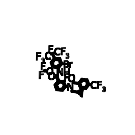 O=C(Nc1c(Br)cc(C(F)(C(F)(F)F)C(F)(F)F)cc1OC(F)F)c1cccc(N(CC2CC2)C(=O)c2ccc(C(F)(F)F)cc2)c1F